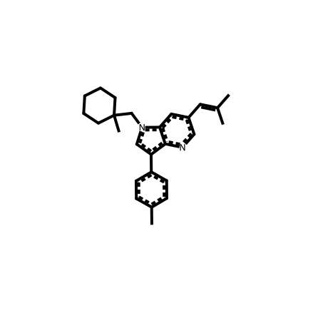 CC(C)=Cc1cnc2c(-c3ccc(C)cc3)cn(CC3(C)CCCCC3)c2c1